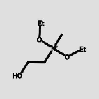 CCO[N+](C)(CCO)OCC